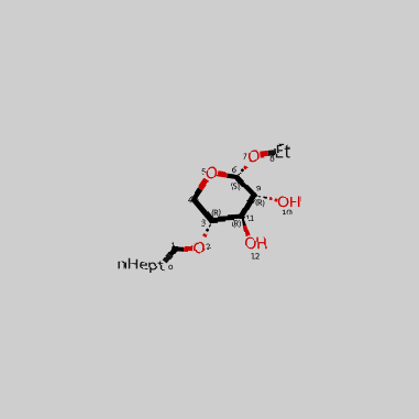 CCCCCCCCO[C@@H]1CO[C@H](OCC)[C@H](O)[C@H]1O